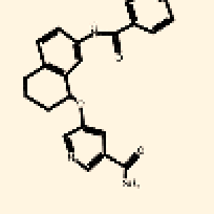 Cc1ccc(C(=O)Nc2ccc3c(c2)C(Oc2cncc(C(N)=O)c2)CCC3)cc1